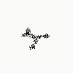 C=C(C)C(=O)OCCCc1ccc(N(c2ccc(CCCOC(=O)C(=C)C)cc2)c2ccc(-c3ccc(N(c4ccc(C)cc4)c4ccc(C)cc4)cc3)cc2)cc1